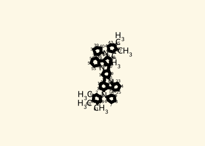 Cc1cc(N(c2ccccc2)c2ccc3c4cc5c(cc4n4c6ccccc6c2c34)c2ccc(N(c3ccccc3)c3ccc(C)c(C)c3C)c3c4ccccc4n5c23)cc(C)c1C